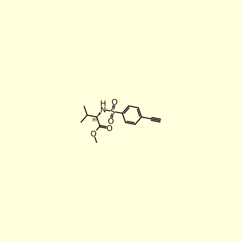 C#Cc1ccc(S(=O)(=O)N[C@@H](C(=O)OC)C(C)C)cc1